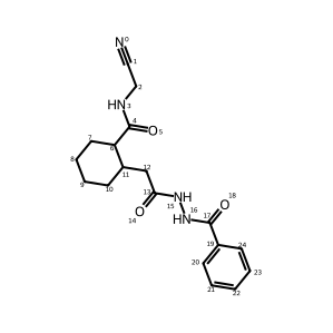 N#CCNC(=O)C1CCCCC1CC(=O)NNC(=O)c1ccccc1